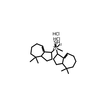 CC1(C)CCCC=C2C1CC[CH]2[Zr]([CH3])([CH3])(=[SiH2])[CH]1CCC2C1=CCCCC2(C)C.Cl.Cl